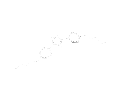 CCCCCCc1ccc(-c2nnc(-c3ccc(OCCCC)cc3)s2)cc1